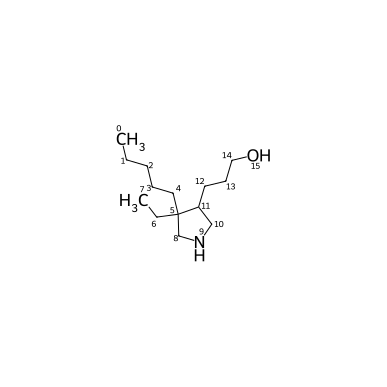 CCCCCC1(CC)CNCC1CCCO